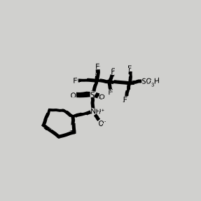 O=S(=O)(O)C(F)(F)C(F)(F)C(F)(F)S(=O)(=O)[NH+]([O-])C1CCCCC1